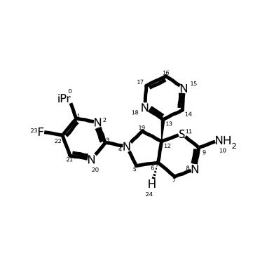 CC(C)c1nc(N2C[C@@H]3CN=C(N)S[C@@]3(c3cnccn3)C2)ncc1F